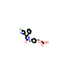 O=C(O)COC[C@H]1CC[C@@H](Cn2nc(-c3ccccc3)c(-c3ccc(F)nc3)cc2=O)CC1